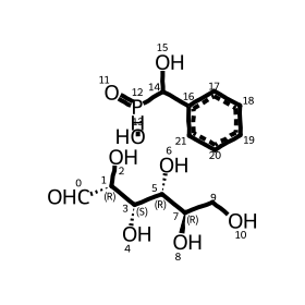 O=C[C@H](O)[C@@H](O)[C@H](O)[C@H](O)CO.O=[PH](O)C(O)c1ccccc1